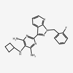 Nc1nc(-c2nn(Cc3ccccc3F)c3ncccc23)nc(N)c1NC1CCC1